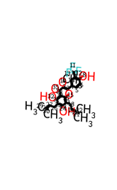 COc1c(-c2ccc(O)c(C(F)(F)F)c2)oc2c(CC=C(C)C)c(O)c(CC=C(C)C)c(O)c2c1=O